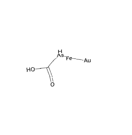 O=C(O)[AsH][Fe][Au]